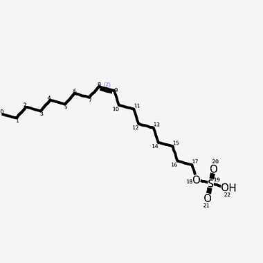 CCCCCCCC/C=C\CCCCCCCCOS(=O)(=O)O